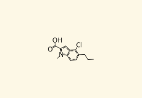 CCCc1ccc2c(cc(C(=O)O)n2C)c1Cl